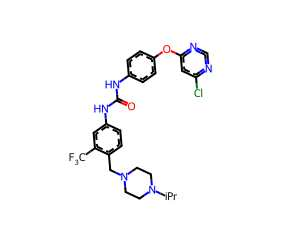 CC(C)N1CCN(Cc2ccc(NC(=O)Nc3ccc(Oc4cc(Cl)ncn4)cc3)cc2C(F)(F)F)CC1